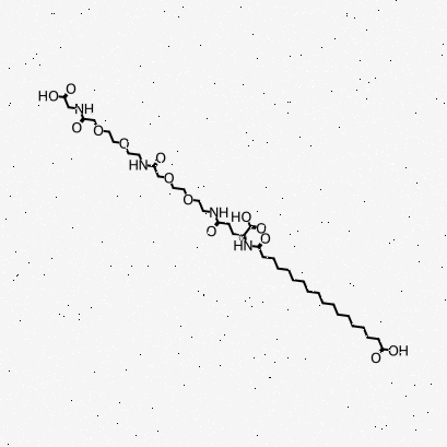 O=C(O)CCCCCCCCCCCCCCCCC(=O)N[C@@H](CCC(=O)NCCOCCOCC(=O)NCCOCCOCC(=O)NCC(=O)O)C(=O)O